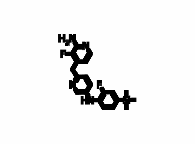 C[Si](C)(C)c1ccc(Nc2ccc(Cc3ccnc(N)c3F)nc2)c(F)c1